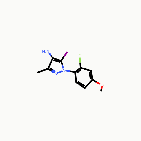 COc1ccc(-n2nc(C)c(N)c2I)c(F)c1